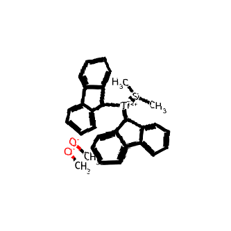 C[O-].C[O-].C[Si](C)=[Ti+2]([CH]1c2ccccc2-c2ccccc21)[CH]1c2ccccc2-c2ccccc21